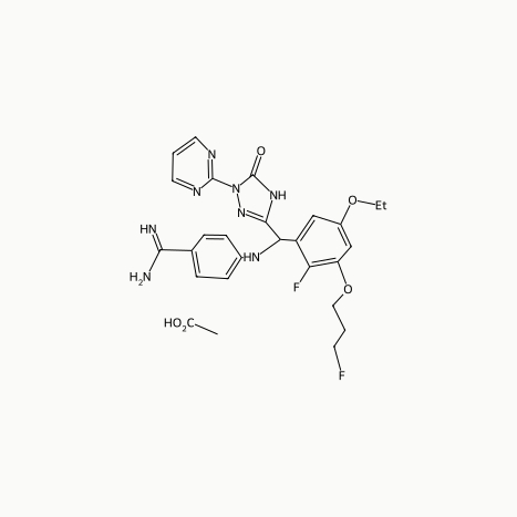 CC(=O)O.CCOc1cc(OCCCF)c(F)c(C(Nc2ccc(C(=N)N)cc2)c2nn(-c3ncccn3)c(=O)[nH]2)c1